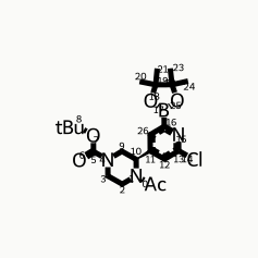 CC(=O)N1CCN(C(=O)OC(C)(C)C)C[C@H]1c1cc(Cl)nc(B2OC(C)(C)C(C)(C)O2)c1